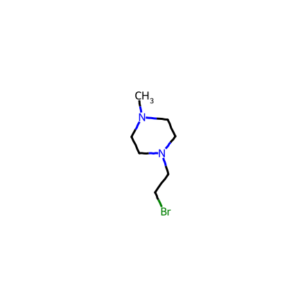 CN1CCN(CCBr)CC1